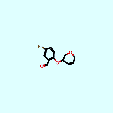 O=Cc1cc(Br)ccc1OC1C=CCOC1